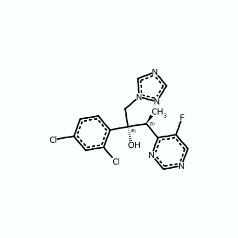 C[C@@H](c1ncncc1F)[C@](O)(Cn1cncn1)c1ccc(Cl)cc1Cl